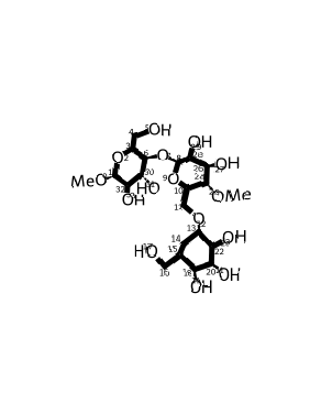 CO[C@@H]1OC(CO)[C@@H](O[C@@H]2OC(CO[C@H]3CC(CO)[C@H](O)[C@H](O)C3O)[C@@H](OC)[C@H](O)C2O)[C@H](O)C1O